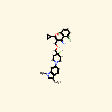 Cn1cc(C(=O)O)c2ccc(N3CCC(F)(COC/C(C(=N)c4c(Cl)cccc4Cl)=C(/O)C4CC4)CC3)cc21